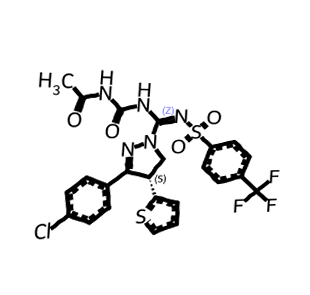 CC(=O)NC(=O)N/C(=N/S(=O)(=O)c1ccc(C(F)(F)F)cc1)N1C[C@H](c2cccs2)C(c2ccc(Cl)cc2)=N1